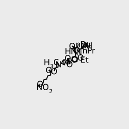 CCCCc1c(C(=N)CCC)nc(-c2cc(S(=O)(=O)N3CC(N(C)CCOC(=O)CCCCCO[N+](=O)[O-])C3)ccc2OCC)[nH]c1=O